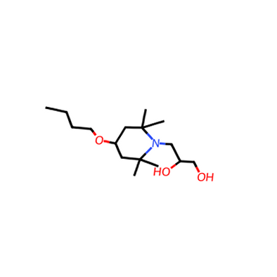 CCCCOC1CC(C)(C)N(CC(O)CO)C(C)(C)C1